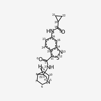 O=C(N[C@@H]1CN2CCC1CC2)c1snc2cc(NC(=O)C3CC3)ccc12